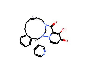 O=C1c2c(O)c(=O)ccn2N2CN1C/C=C\CCc1ccccc1[C@H]2c1cccnc1